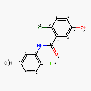 O=C(Nc1cc([N+](=O)[O-])ccc1F)c1cc(O)ccc1Cl